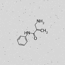 C=C(CN)C(=O)Nc1ccccc1